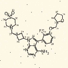 Nc1ncnc2c1c(-c1cccc(OCC3CCCO3)c1F)cn2C1CC(CN2CCS(=O)(=O)CC2)C1